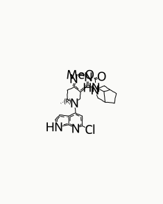 COC(=O)NC1C2CCC1CN(c1ncnc3c1CN(c1cc(Cl)nc4[nH]ccc14)[C@H](C)C3)C2